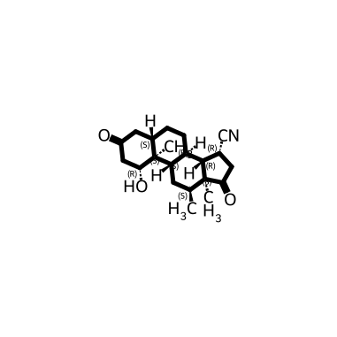 C[C@H]1C[C@H]2[C@@H](CC[C@H]3CC(=O)C[C@@H](O)[C@@]32C)[C@@H]2[C@H](C#N)CC(=O)[C@]21C